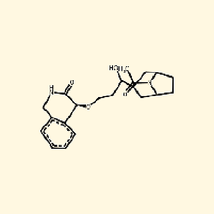 CC(=O)N1C2CCC1CC(C(O)CCO[C@@H]1C(=O)NCc3ccccc31)C2